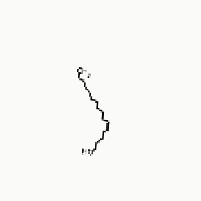 CCCCCCCCCC/C=C\CCCCO